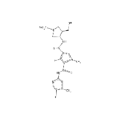 CCOC(=O)N1CC(N[S+]([O-])c2cn(C)c(C(=O)Nc3ccc(F)c(C)c3)c2F)[C@H](CS)C1